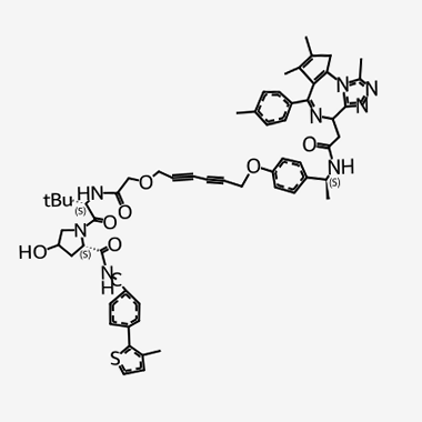 CC1=C(C)C2=C(C1)n1c(C)nnc1C(CC(=O)N[C@@H](C)c1ccc(OCC#CC#CCOCC(=O)N[C@H](C(=O)N3CC(O)C[C@H]3C(=O)NCc3ccc(-c4sccc4C)cc3)C(C)(C)C)cc1)N=C2c1ccc(C)cc1